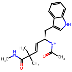 CNC(=O)C(C)(C)C=C[C@@H](Cc1c[nH]c2ccccc12)NC(C)=O